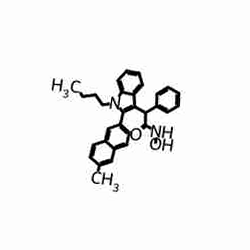 CCCCn1c(-c2ccc3cc(C)ccc3c2)c(C(C(=O)NO)c2ccccc2)c2ccccc21